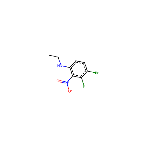 CCNc1ccc(Br)c(F)c1[N+](=O)[O-]